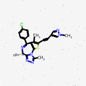 CCC[C@@H]1N=C(c2ccc(Cl)cc2)c2c(sc(C#Cc3cnn(C)c3)c2C)-n2c(C)nnc21